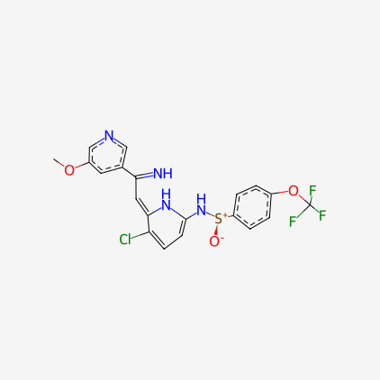 COc1cncc(C(=N)/C=C2\NC(N[S@+]([O-])c3ccc(OC(F)(F)F)cc3)=CC=C2Cl)c1